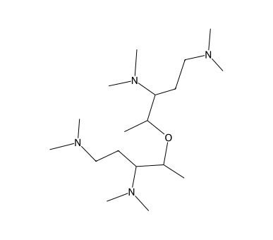 CC(OC(C)C(CCN(C)C)N(C)C)C(CCN(C)C)N(C)C